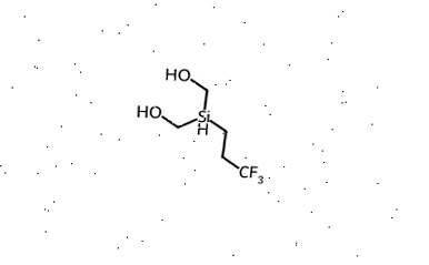 OC[SiH](CO)CCC(F)(F)F